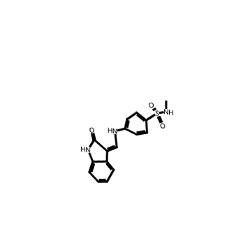 CNS(=O)(=O)c1ccc(NC=C2C(=O)Nc3ccccc32)cc1